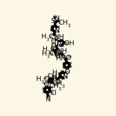 Cc1ncsc1-c1ccc([C@H](C)NC(=O)[C@@H]2C[C@@H](O)CN2C(=O)C(NC(=O)CNC(=O)c2ccc(Oc3ccc(C(=O)N[C@H]4C(C)(C)[C@H](Oc5ccc(C#N)c(Cl)c5)C4(C)C)cn3)cc2)C(C)(C)C)nc1